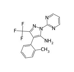 Cc1ccccc1-c1c(C(F)(F)F)nn(-c2ncccn2)c1N